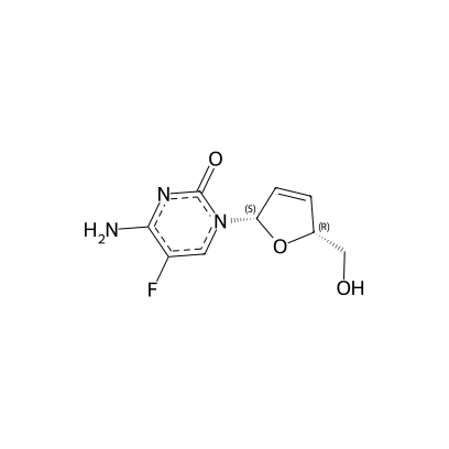 Nc1nc(=O)n([C@@H]2C=C[C@H](CO)O2)cc1F